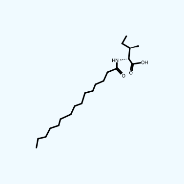 CCCCCCCCCCCCCCC(=O)N[C@@H](C(=O)O)[C@H](C)CC